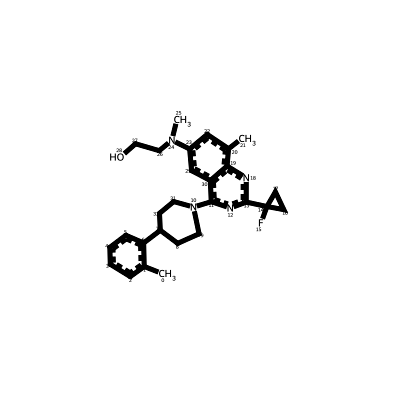 Cc1ccccc1C1CCN(c2nc(C3(F)CC3)nc3c(C)cc(N(C)CCO)cc23)CC1